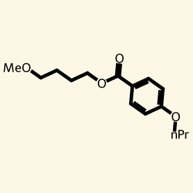 CCCOc1ccc(C(=O)OCCCCOC)cc1